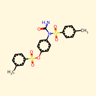 Cc1ccc(S(=O)(=O)N(C(N)=O)c2ccc(OS(=O)(=O)c3cccc(C)c3)cc2)cc1